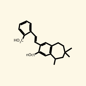 CCCCCCCCc1cc2c(cc1C=Cc1ccccc1C(=O)O)CCC(C)(C)CC2C